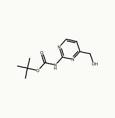 CC(C)(C)OC(=O)Nc1nccc(CO)n1